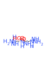 N=C(N)NCCC[C@H](N)C(=O)N[C@H](CCCNC(=N)N)C(=O)O